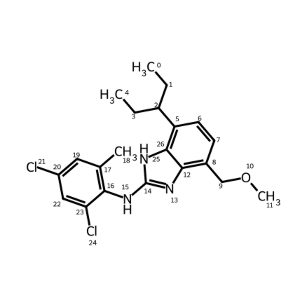 CCC(CC)c1ccc(COC)c2nc(Nc3c(C)cc(Cl)cc3Cl)[nH]c12